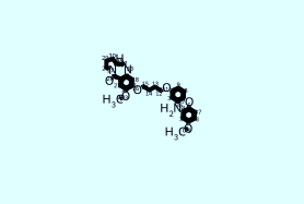 COc1ccc(Oc2ccc(OCCCCOc3cc4c(cc3OC)C(=O)N3CCC[C@H]3C=N4)cc2N)cc1